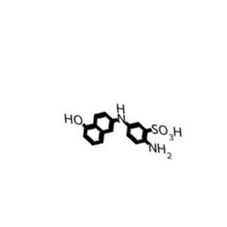 Nc1ccc(Nc2ccc3c(O)cccc3c2)cc1S(=O)(=O)O